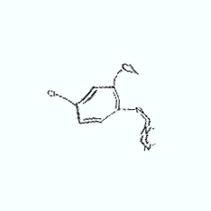 [N-]=[N+]=Nc1ccc(Cl)cc1Cl